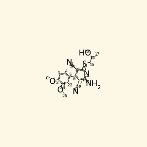 COc1ccc(-c2c(C#N)c(N)nc(SCC(C)O)c2C#N)cc1OC